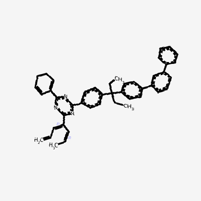 C=C/C=C(\C=C/C)c1nc(C2=CCCC=C2)nc(-c2ccc(C(CC)(CC)c3ccc(-c4cccc(-c5ccccc5)c4)cc3)cc2)n1